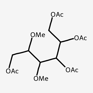 COC(COC(C)=O)C(OC)C(OC(C)=O)C(COC(C)=O)OC(C)=O